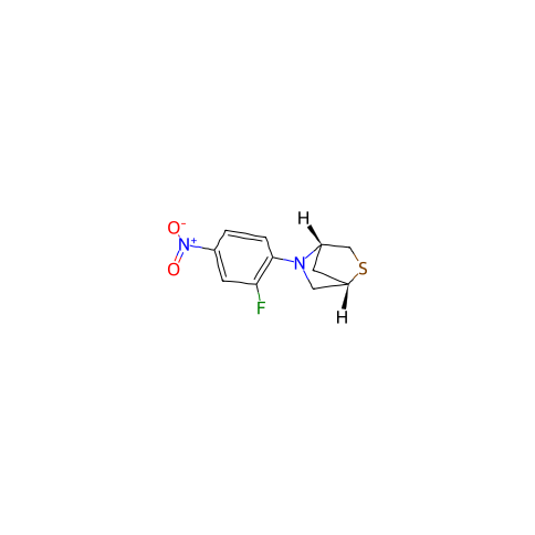 O=[N+]([O-])c1ccc(N2C[C@@H]3C[C@H]2CS3)c(F)c1